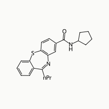 CCCC1=Nc2cc(C(=O)NC3CCCC3)ccc2Sc2ccccc21